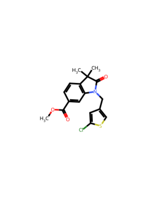 COC(=O)c1ccc2c(c1)N(Cc1csc(Cl)c1)C(=O)C2(C)C